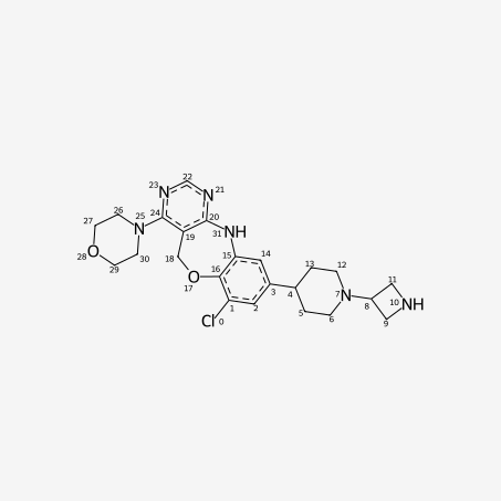 Clc1cc(C2CCN(C3CNC3)CC2)cc2c1OCc1c(ncnc1N1CCOCC1)N2